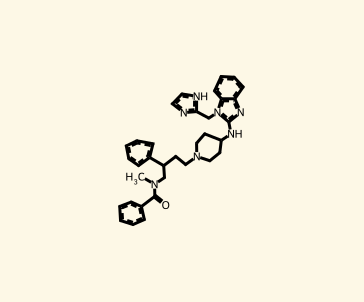 CN(CC(CCN1CCC(Nc2nc3ccccc3n2Cc2ncc[nH]2)CC1)c1ccccc1)C(=O)c1ccccc1